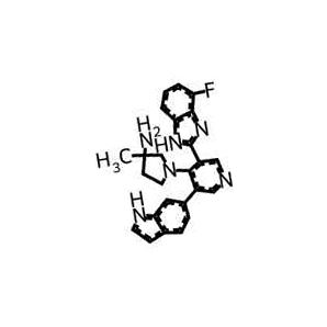 CC1(N)CCN(c2c(-c3ccc4cc[nH]c4c3)cncc2-c2nc3c(F)cccc3[nH]2)C1